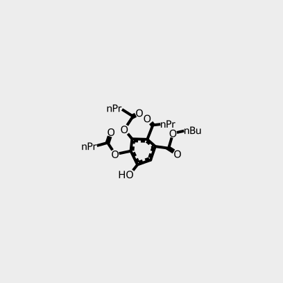 CCCCOC(=O)c1cc(O)c(OC(=O)CCC)c(OC(=O)CCC)c1C(=O)CCC